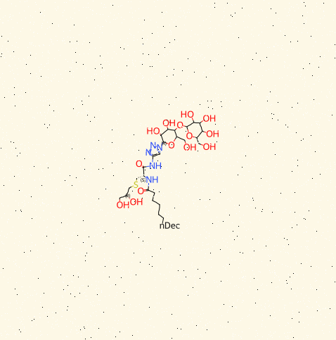 CCCCCCCCCCCCCCCC(=O)N[C@H](CSC[C@H](O)CO)C(=O)Nc1cn([C@@H]2OC(CO)C(OC3OC(CO)C(O)C(O)C3O)C(O)C2O)nn1